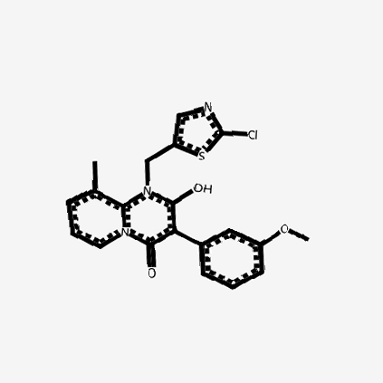 COc1cccc(-c2c(O)n(Cc3cnc(Cl)s3)c3c(C)ccc[n+]3c2=O)c1